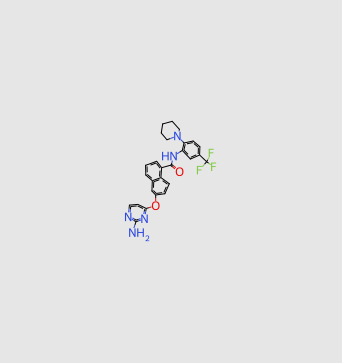 Nc1nccc(Oc2ccc3c(C(=O)Nc4cc(C(F)(F)F)ccc4N4CCCCC4)cccc3c2)n1